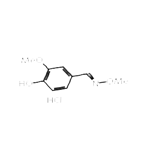 CO/N=C/c1ccc(O)c(OC)c1.Cl